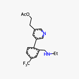 CCNCc1cc(C(F)(F)F)ccc1-c1cncc(CCOC(C)=O)c1